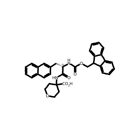 O=C(N[C@@H](Cc1ccc2ccccc2c1)C(=O)NC1(C(=O)O)CCOCC1)OCC1c2ccccc2-c2ccccc21